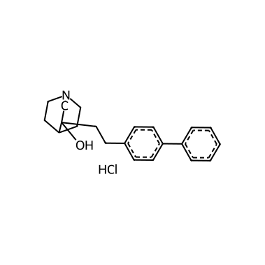 Cl.OC1(CCc2ccc(-c3ccccc3)cc2)CN2CCC1CC2